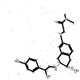 CN(C)C(=O)COc1ccc2c(c1)C[C@@H](NCC(O)c1ccc(O)cc1)CC2.Cl.O